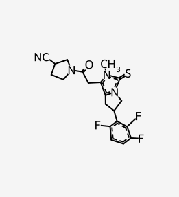 Cn1c(CC(=O)N2CCC(C#N)C2)c2n(c1=S)CC(c1c(F)ccc(F)c1F)C2